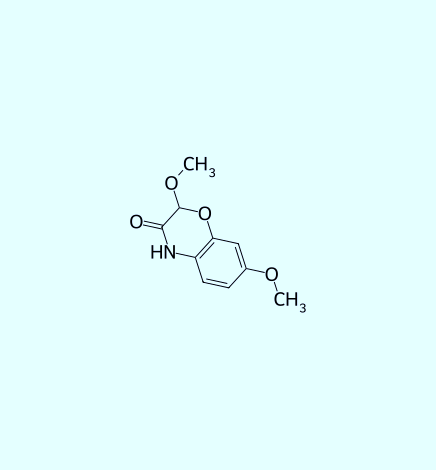 COc1ccc2c(c1)OC(OC)C(=O)N2